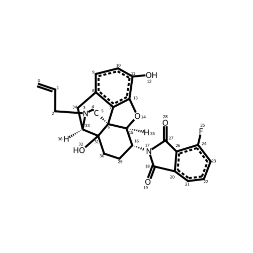 C=CCN1CC[C@]23c4c5ccc(O)c4O[C@H]2[C@H](N2C(=O)c4cccc(F)c4C2=O)CCC3(O)[C@H]1C5